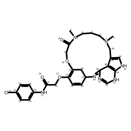 CN1CCCN(C)C(=O)COC2=C(OCC(=O)Nc3ccc(Cl)cc3)C=CC(C2)/N=C2\N=CNc3[nH]cc(c32)C1